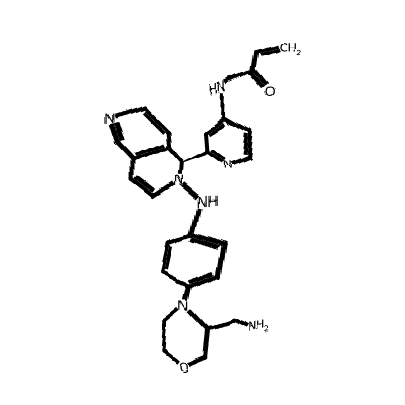 C=CC(=O)Nc1ccnc([C@@H]2c3ccncc3C=CN2Nc2ccc(N3CCOCC3CN)cc2)c1